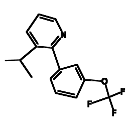 CC(C)c1cccnc1-c1cccc(OC(F)(F)F)c1